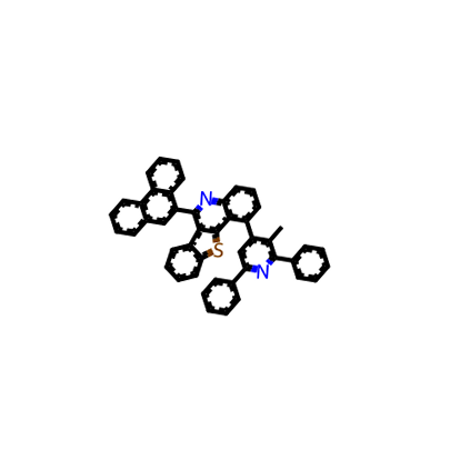 Cc1c(-c2cccc3nc(-c4cc5ccccc5c5ccccc45)c4c5ccccc5sc4c23)cc(-c2ccccc2)nc1-c1ccccc1